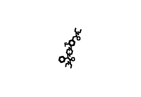 CCN(CC)C(=O)Cc1ccc(N2CCN(C(C(=O)N(CC)CC)c3ccccc3)CC2)c(F)c1